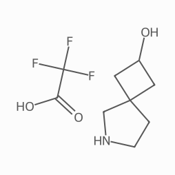 O=C(O)C(F)(F)F.OC1CC2(CCNC2)C1